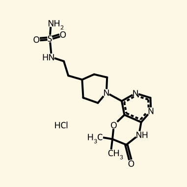 CC1(C)Oc2c(ncnc2N2CCC(CCNS(N)(=O)=O)CC2)NC1=O.Cl